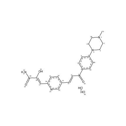 CN1CCN(c2ccc(C(=O)C=Cc3ccc(C=C(O)C(N)=O)nc3)cc2)CC1.Cl.Cl